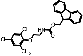 [CH2]c1cc(Cl)cc(Cl)c1OCCNC(=O)OCC1c2ccccc2-c2ccccc21